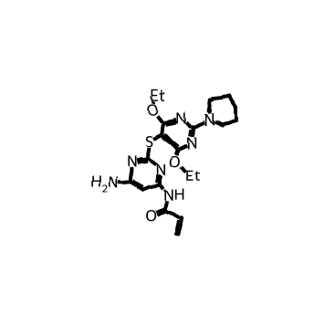 C=CC(=O)Nc1cc(N)nc(Sc2c(OCC)nc(N3CCCCC3)nc2OCC)n1